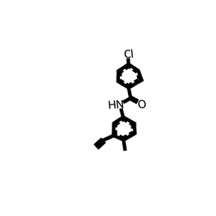 C#Cc1cc(NC(=O)c2ccc(Cl)cc2)ccc1C